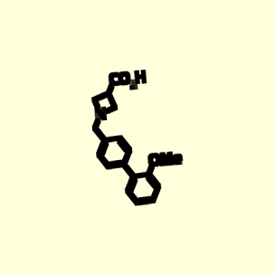 COc1ccccc1-c1ccc(CN2CC(C(=O)O)C2)cc1